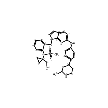 CC1CN(c2ccc(Nc3ncc4ccn(Cc5ccccc5N(C5(CO)CC5)S(C)(=O)=O)c4n3)cc2)CCN1